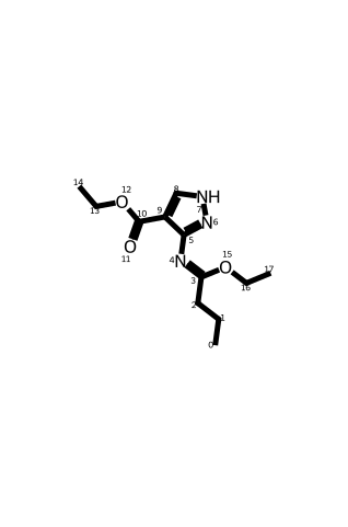 CCC/C(=N/c1n[nH]cc1C(=O)OCC)OCC